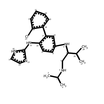 CC(C)NCC(Nc1ccc(Nc2ncc[nH]2)c(-c2ccccc2Cl)c1)C(C)C